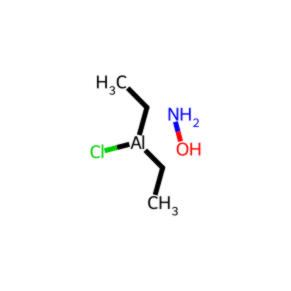 C[CH2][Al]([Cl])[CH2]C.NO